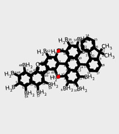 Bc1c(-c2c3c(B)c(B)c(B)c(B)c3c(-c3cccc4c3-c3ccccc3C4(C)C)c3c(B)c(B)c(B)c(B)c23)c(B)c2c(oc3c4c(B)c(B)c(B)c(B)c4c(B)c(B)c32)c1B